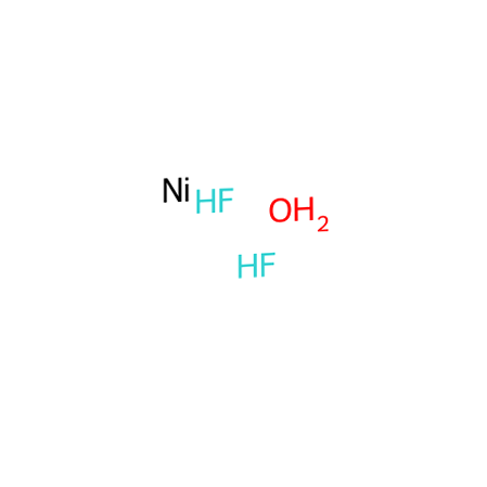 F.F.O.[Ni]